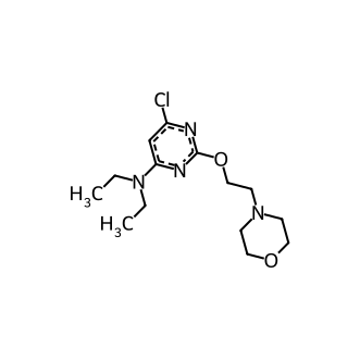 CCN(CC)c1cc(Cl)nc(OCCN2CCOCC2)n1